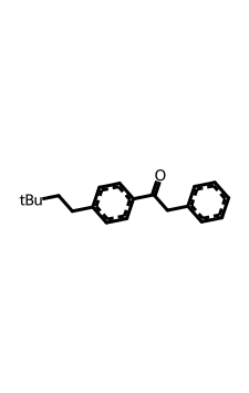 CC(C)(C)CCc1ccc(C(=O)Cc2ccccc2)cc1